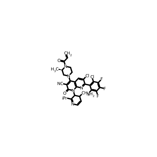 C=CC(=O)N1CCN(c2c(C#N)c(=O)n(C3C(C(C)C)=NC=CC3C)c3nc(-c4c(N)c(F)c(F)c(F)c4Cl)c(Cl)cc23)C[C@H]1C